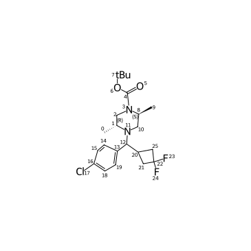 C[C@@H]1CN(C(=O)OC(C)(C)C)[C@@H](C)CN1C(c1ccc(Cl)cc1)C1CC(F)(F)C1